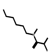 C=C(C(C)C)N(C)CCCCCC